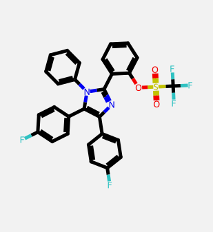 O=S(=O)(Oc1ccccc1-c1nc(-c2ccc(F)cc2)c(-c2ccc(F)cc2)n1-c1ccccc1)C(F)(F)F